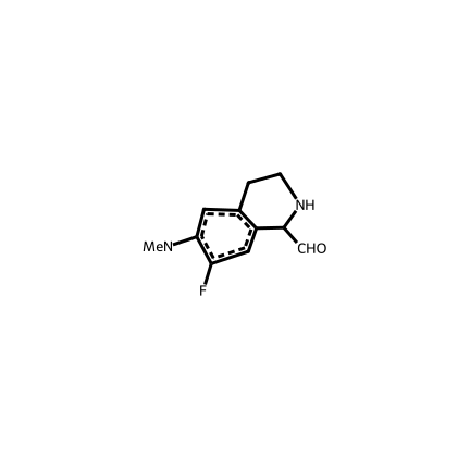 CNc1cc2c(cc1F)C(C=O)NCC2